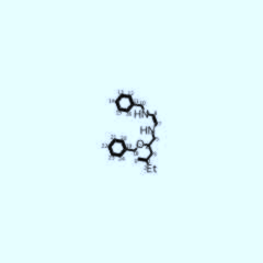 C=C(CC)CC(CN/C=C\NCc1ccccc1)OCc1ccccc1